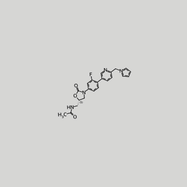 CC(=O)NC[C@H]1CN(c2ccc(-c3ccc(Cn4cccc4)nc3)c(F)c2)C(=O)O1